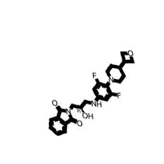 O=C1c2ccccc2C(=O)N1C[C@H](O)CNc1cc(F)c(N2CCC(C3COC3)CC2)c(F)c1